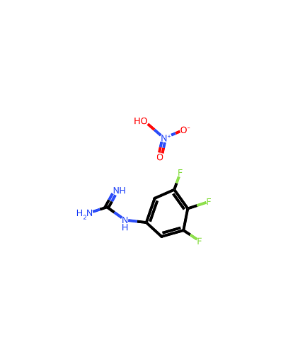 N=C(N)Nc1cc(F)c(F)c(F)c1.O=[N+]([O-])O